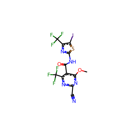 COc1nc(C#N)nc(C(F)(F)F)c1C(=O)Nc1nc(C(F)(F)F)c(I)s1